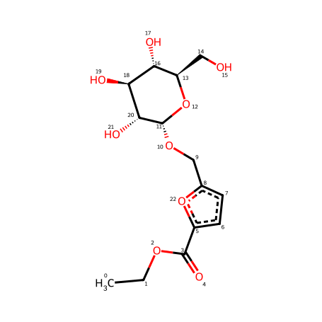 CCOC(=O)c1ccc(CO[C@H]2O[C@H](CO)[C@@H](O)[C@H](O)[C@H]2O)o1